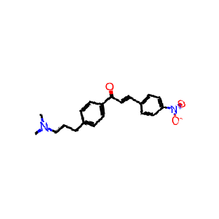 CN(C)CCCc1ccc(C(=O)C=Cc2ccc([N+](=O)[O-])cc2)cc1